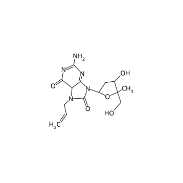 C=CCN1C(=O)N(C2CC(O)C(C)(CO)O2)C2=NC(N)=NC(=O)C21